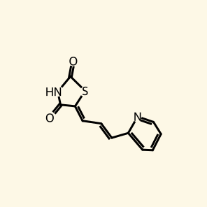 O=C1NC(=O)C(=CC=Cc2ccccn2)S1